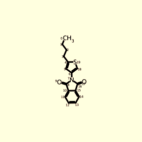 CCCCc1cc(N2C(=O)c3ccccc3C2=O)cs1